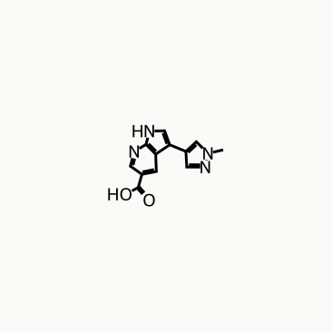 Cn1cc(-c2c[nH]c3ncc(C(=O)O)cc23)cn1